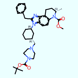 COC(=O)N1c2ccc3c(nc(Cc4ccccc4)n3[C@@H]3CCC[C@@H](CN4CCN(C(=O)OC(C)(C)C)CC4)C3)c2CC[C@@H]1C